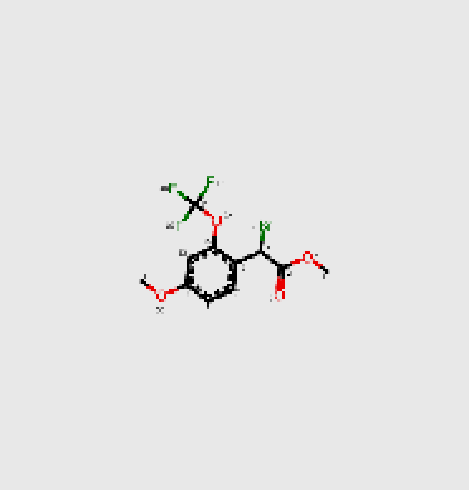 COC(=O)C(Br)c1ccc(OC)cc1OC(F)(F)F